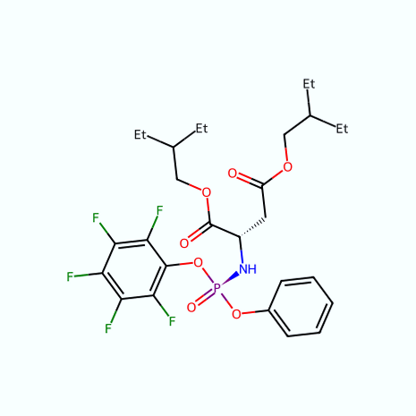 CCC(CC)COC(=O)C[C@H](N[P@](=O)(Oc1ccccc1)Oc1c(F)c(F)c(F)c(F)c1F)C(=O)OCC(CC)CC